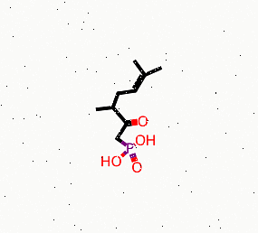 CC(C)=CCC(C)C(=O)CP(=O)(O)O